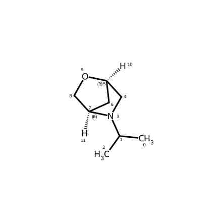 CC(C)N1C[C@H]2C[C@@H]1CO2